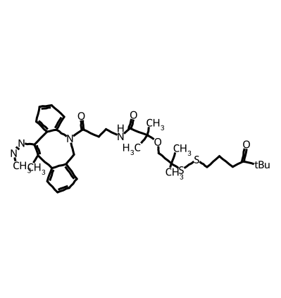 C/N=N\C1=C(/C)c2ccccc2CN(C(=O)CCNC(=O)C(C)(C)OCC(C)(C)SSCCCC(=O)C(C)(C)C)c2ccccc21